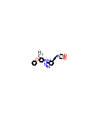 Cc1cc(Nc2ncnc3ccc(C#CCN4CCS(=O)(=O)CC4)cc23)ccc1Oc1ccccc1